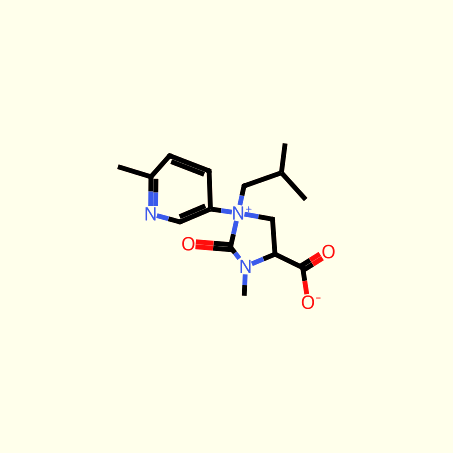 Cc1ccc([N+]2(CC(C)C)CC(C(=O)[O-])N(C)C2=O)cn1